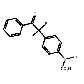 CN(C(=O)O)c1ccc(C(F)(F)C(=O)c2ccccc2)cc1